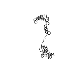 Nc1nnc(-c2ccccc2O)cc1N1CC(Oc2cccc(CN3CCN(C(=O)CCCCCCCCCNc4cccc5c4C(=O)N(C4CCC(=O)NC4=O)C5=O)CC3)c2)C1